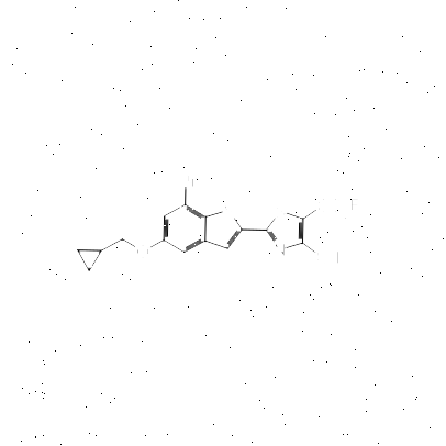 CCOC(=O)c1sc(-c2cc3cc(OCC4CC4)cc(Br)c3s2)nc1C